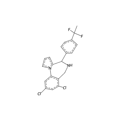 CC(F)(F)c1ccc(C2NCc3c(Cl)cc(Cl)cc3-n3cccc32)cc1